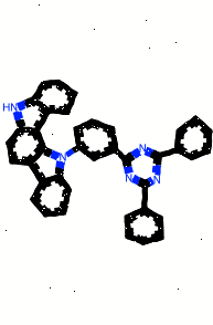 c1ccc(-c2nc(-c3ccccc3)nc(-c3cccc(-n4c5ccccc5c5ccc6[nH]c7ccccc7c6c54)c3)n2)cc1